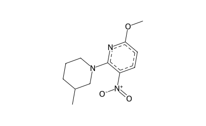 COc1ccc([N+](=O)[O-])c(N2CCCC(C)C2)n1